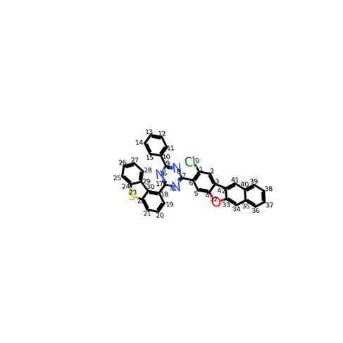 Clc1cc2c(cc1-c1nc(-c3ccccc3)nc(-c3cccc4sc5ccccc5c34)n1)oc1cc3ccccc3cc12